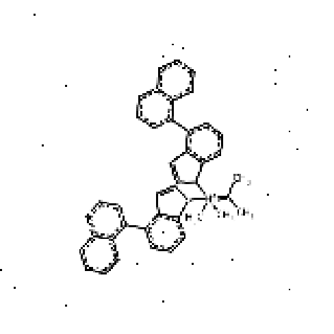 C[C](C)=[Hf]([CH3])([CH3])([CH]1C=Cc2c(-c3cccc4ccccc34)cccc21)[CH]1C=Cc2c(-c3cccc4ccccc34)cccc21